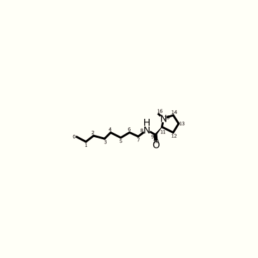 CCCCCCCCNC(=O)[C@@H]1CCCN1C